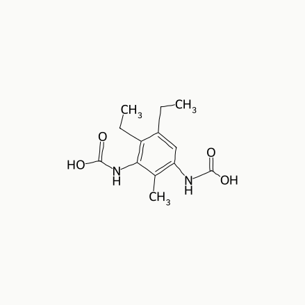 CCc1cc(NC(=O)O)c(C)c(NC(=O)O)c1CC